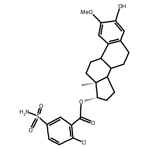 COc1cc2c(cc1O)CCC1C2CC[C@@]2(C)C1CC[C@@H]2OC(=O)c1cc(S(N)(=O)=O)ccc1Cl